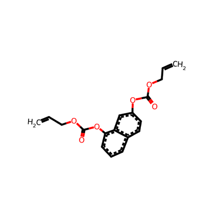 C=CCOC(=O)Oc1ccc2cccc(OC(=O)OCC=C)c2c1